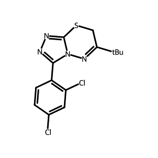 CC(C)(C)C1=Nn2c(nnc2-c2ccc(Cl)cc2Cl)SC1